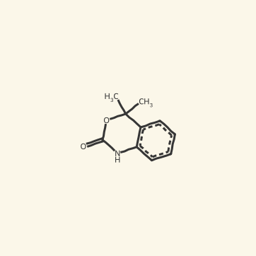 CC1(C)OC(=O)Nc2ccccc21